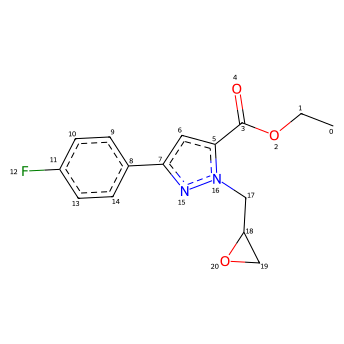 CCOC(=O)c1cc(-c2ccc(F)cc2)nn1CC1CO1